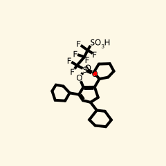 O=S(=O)(O)C(F)(F)C(F)(F)C(F)(F)S(=O)(=O)OC1=C(C2CCCCC2)CC(C2CCCCC2)C=C1C1CCCCC1